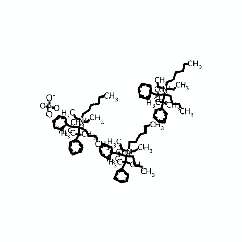 CCCCCC[N+](CC)(CC)C(CCCC)(C(C)(C)c1ccccc1)C(C)(C)c1ccccc1.CCCCCC[N+](CC)(CC)C(CCCC)(C(C)(C)c1ccccc1)C(C)(C)c1ccccc1.CCCCCC[N+](CC)(CC)C(CCCC)(C(C)(C)c1ccccc1)C(C)(C)c1ccccc1.O=P([O-])([O-])[O-]